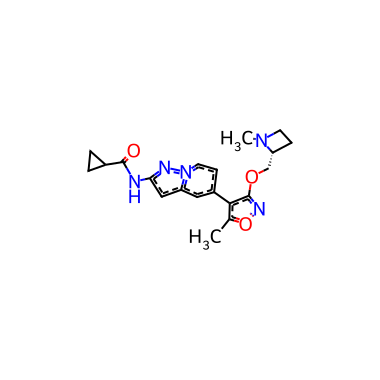 Cc1onc(OC[C@H]2CCN2C)c1-c1ccn2nc(NC(=O)C3CC3)cc2c1